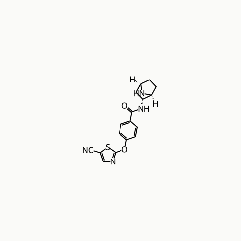 N#Cc1cnc(Oc2ccc(C(=O)N[C@@H]3C[C@H]4CC[C@@H]3N4)cc2)s1